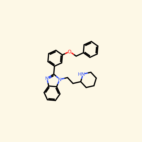 c1ccc(COc2cccc(-c3nc4ccccc4n3CCC3CCCCN3)c2)cc1